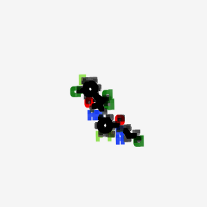 O=CC1(CNc2cc(F)c(F)c(C(=O)NCCCCl)c2)C(c2ccc(F)c(Cl)c2)C1(Cl)Cl